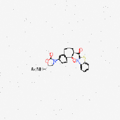 CC(=O)NC[C@H]1CN(c2ccc3c(c2)CCC[C@@H](C(=O)c2nc4ccccc4s2)C3=O)C(=O)O1